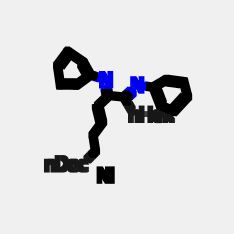 CCCCCCCCCCCC/C=C/C(=N\c1ccccc1)C(/CCCCCC)=N/c1ccccc1.[Ni]